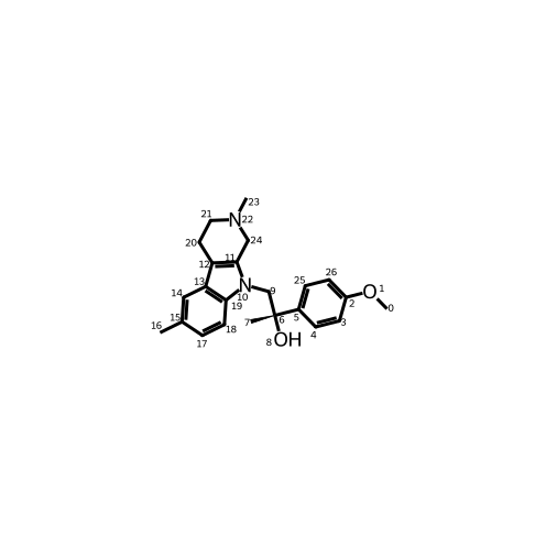 COc1ccc([C@](C)(O)Cn2c3c(c4cc(C)ccc42)CCN(C)C3)cc1